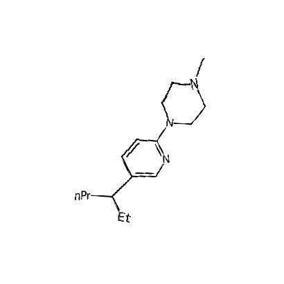 CCCC(CC)c1ccc(N2CCN(C)CC2)nc1